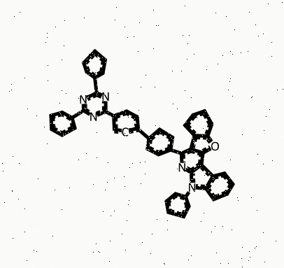 c1ccc(-c2nc(-c3ccccc3)nc(-c3ccc(-c4ccc(-c5nc6c(c7ccccc7n6-c6ccccc6)c6oc7ccccc7c56)cc4)cc3)n2)cc1